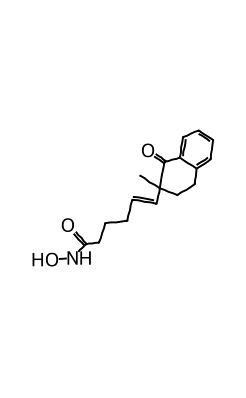 CC1(C=CCCCC(=O)NO)CCc2ccccc2C1=O